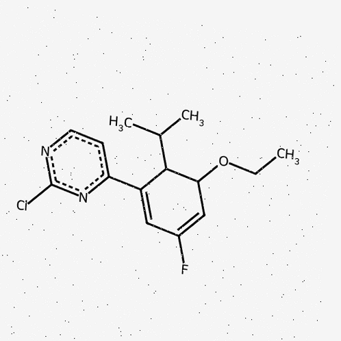 CCOC1C=C(F)C=C(c2ccnc(Cl)n2)C1C(C)C